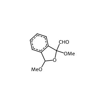 COC1OC(C=O)(OC)c2ccccc21